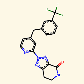 O=C1NCCc2nn(-c3cc(Cc4cccc(C(F)(F)F)c4)ccn3)nc21